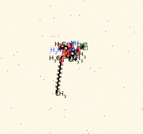 CCCCCCCCCCCCCCCCO[C@@H](C)COP(C)(=O)O[C@H]1OC(C(N)=O)[C@@H](C)[C@H](OC(N)=O)C1O[C@@H]1OC(CC)[C@@H](C)[C@H](C)C1NC(=O)OCC(Cl)(Cl)Cl